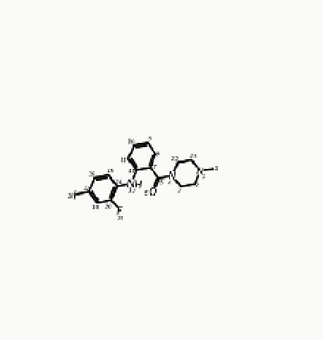 CN1CCN(C(=O)c2ccccc2Nc2ccc(I)cc2F)CC1